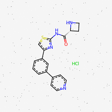 Cl.O=C(Nc1nc(-c2cccc(-c3ccncc3)c2)cs1)[C@H]1CCN1